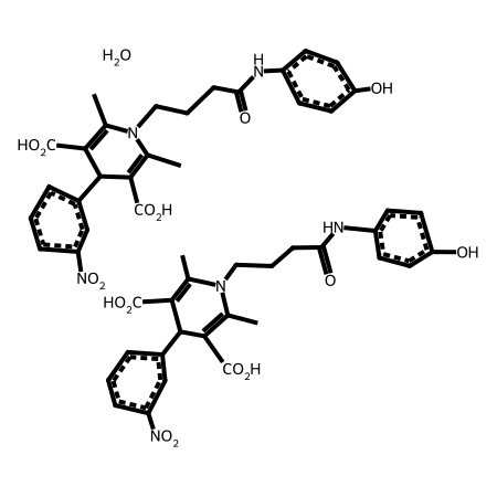 CC1=C(C(=O)O)C(c2cccc([N+](=O)[O-])c2)C(C(=O)O)=C(C)N1CCCC(=O)Nc1ccc(O)cc1.CC1=C(C(=O)O)C(c2cccc([N+](=O)[O-])c2)C(C(=O)O)=C(C)N1CCCC(=O)Nc1ccc(O)cc1.O